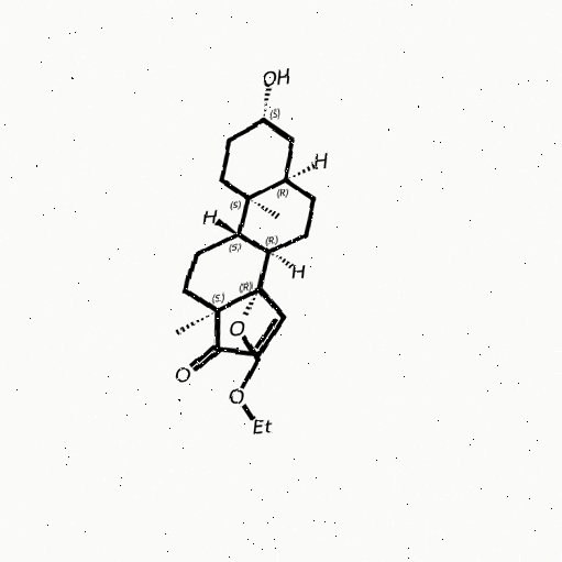 CCOCO[C@]12C=CC(=O)[C@@]1(C)CC[C@H]1[C@H]2CC[C@@H]2C[C@@H](O)CC[C@@]21C